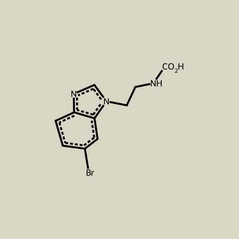 O=C(O)NCCn1cnc2ccc(Br)cc21